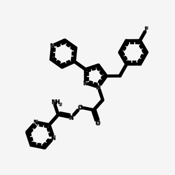 N/C(=N\OC(=O)Cn1nc(-c2ccncc2)cc1Cc1ccc(F)cc1)c1ncccn1